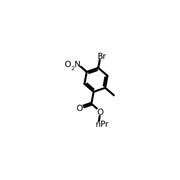 CCCOC(=O)c1cc([N+](=O)[O-])c(Br)cc1C